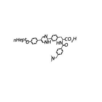 CCCCCCCOc1ccc(C2=CNC(c3ccc(C[C@H](NC(=O)c4ccc(CN(C)C)cc4)C(=O)O)cc3)N=C2)cc1